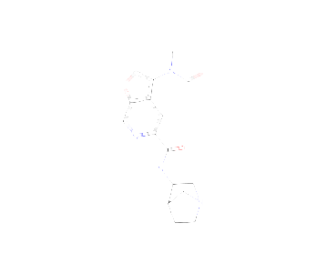 CN(C=O)c1coc2cnc(C(=O)NC3CN4CCC3C4)cc12